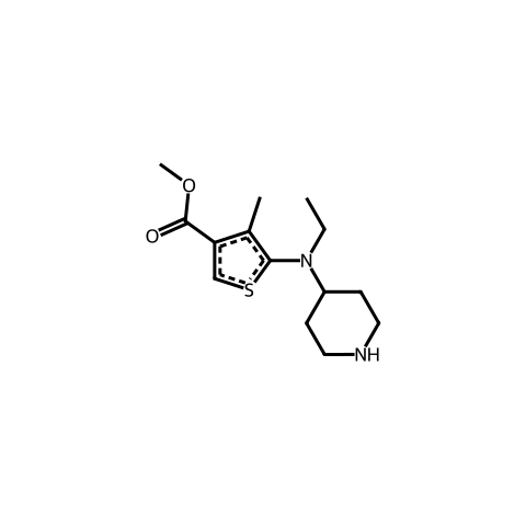 CCN(c1scc(C(=O)OC)c1C)C1CCNCC1